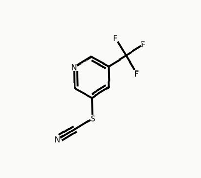 N#CSc1cncc(C(F)(F)F)c1